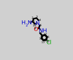 NC1CCCN(CC(=O)NCc2ccc(Cl)cc2)C1